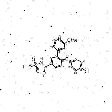 COc1cc(-c2cc(C(=O)NS(C)(=O)=O)ccc2Oc2ccc(Cl)cc2)ccn1